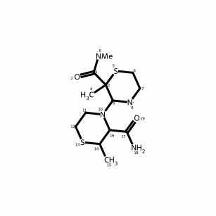 CNC(=O)C1(C)SCC[N]C1N1CCSC(C)C1C(N)=O